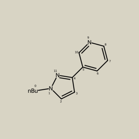 [CH2]CCCn1ccc(-c2cccnc2)n1